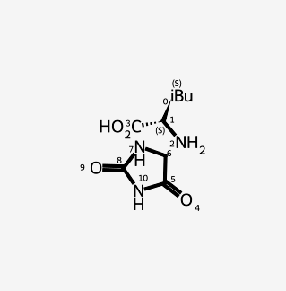 CC[C@H](C)[C@H](N)C(=O)O.O=C1CNC(=O)N1